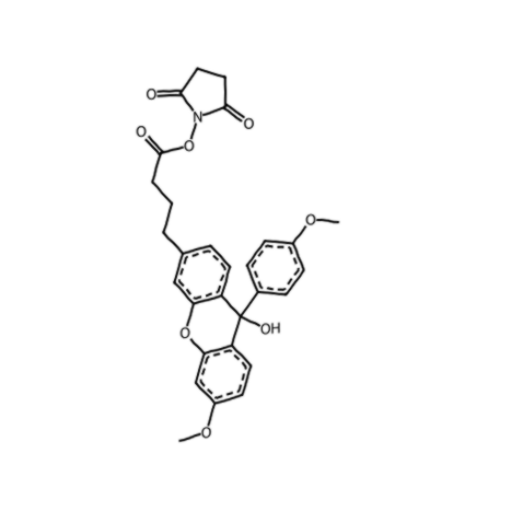 COc1ccc(C2(O)c3ccc(CCCC(=O)ON4C(=O)CCC4=O)cc3Oc3cc(OC)ccc32)cc1